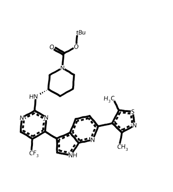 Cc1nsc(C)c1-c1ccc2c(-c3nc(N[C@H]4CCCN(C(=O)OC(C)(C)C)C4)ncc3C(F)(F)F)c[nH]c2n1